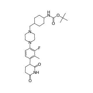 Cc1c(C2CCC(=O)NC2=O)ccc(N2CCN(CC3CCC(NC(=O)OC(C)(C)C)CC3)CC2)c1F